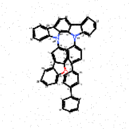 c1ccc(-c2ccc(-c3ccc(-n4c5ccccc5c5ccc6c7ccccc7n(-c7ccc8oc9ccccc9c8c7)c6c54)cc3)cc2)cc1